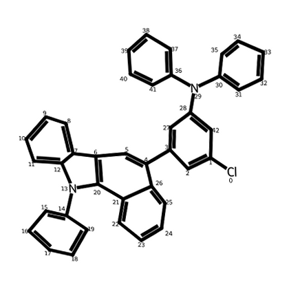 Clc1cc(-c2cc3c4ccccc4n(-c4ccccc4)c3c3ccccc23)cc(N(c2ccccc2)c2ccccc2)c1